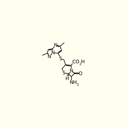 Cc1cc(SCC2=C(C(=O)O)N3C(=O)C(N)[C@@H]3SC2)n2nc(C)cc2n1